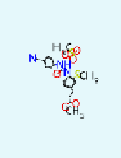 COC(=O)CCc1ccc(N(CCOS(C)(=O)=O)C(=O)Nc2ccc(C#N)cc2)c(SC)c1